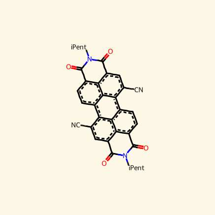 CCCC(C)N1C(=O)c2ccc3c4c(C#N)cc5c6c(ccc(c7c(C#N)cc(c2c37)C1=O)c64)C(=O)N(C(C)CCC)C5=O